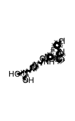 O=C(CCN1CCN(CCN(CCO)CCO)CC1)Nc1cc(N2CCOc3cnc(-c4cc(Cl)ccc4F)cc32)ccn1